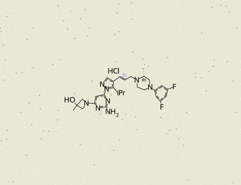 CC(C)c1c(/C=C/CN2CCN(c3cc(F)cc(F)c3)C[C@H]2C)cnn1-c1cc(N2CC(C)(O)C2)nc(N)n1.Cl